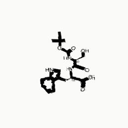 CC(C)(C)OC(=O)N[C@@H](CO)C(=O)N[C@@H](Cc1c[nH]c2ccccc12)C(=O)O